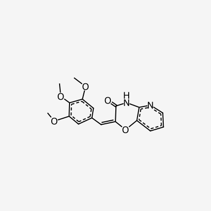 COc1cc(C=C2Oc3cccnc3NC2=O)cc(OC)c1OC